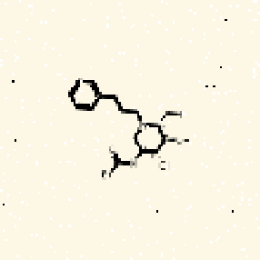 CCC(=O)N[C@H]1CN(CCCc2ccccc2)[C@H](CF)[C@@H](O)[C@@H]1O